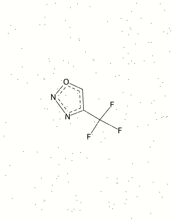 FC(F)(F)c1conn1